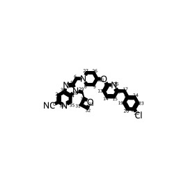 N#Cc1cc2nc(CN3CCC(Oc4cccc(Cc5ccc(Cl)cc5)n4)CC3)n(C[C@@H]3CCO3)c2cn1